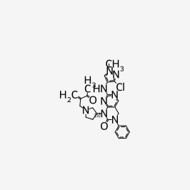 C=C(CN1CC[C@H](N2C(=O)N(c3ccccc3)Cc3cnc(Nc4cn(C)nc4Cl)nc32)C1)C(C)=O